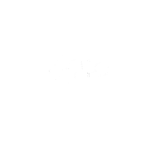 Clc1ccccc1Nc1ccc2ccc3cccc4ccc1c2c34